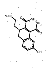 CNCCC1Cc2ccc(O)cc2C(C(N)=O)=C1C(N)=O